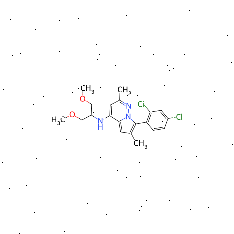 COCC(COC)Nc1cc(C)nn2c(-c3ccc(Cl)cc3Cl)c(C)cc12